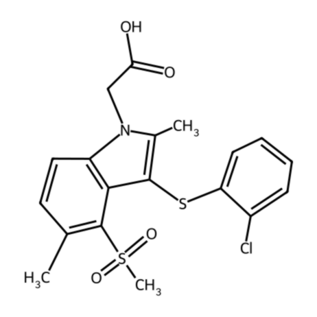 Cc1ccc2c(c(Sc3ccccc3Cl)c(C)n2CC(=O)O)c1S(C)(=O)=O